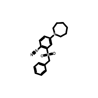 N#[N+]c1ccc(N2CCCCCC2)cc1S(=O)(=O)Cc1ccccc1